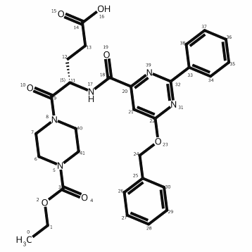 CCOC(=O)N1CCN(C(=O)[C@H](CCC(=O)O)NC(=O)c2cc(OCc3ccccc3)nc(-c3ccccc3)n2)CC1